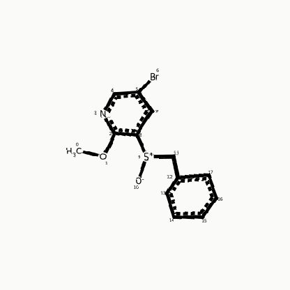 COc1ncc(Br)cc1[S+]([O-])Cc1ccccc1